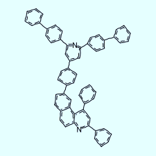 c1ccc(-c2ccc(-c3cc(-c4ccc(-c5ccc6ccc7nc(-c8ccccc8)cc(-c8ccccc8)c7c6c5)cc4)cc(-c4ccc(-c5ccccc5)cc4)n3)cc2)cc1